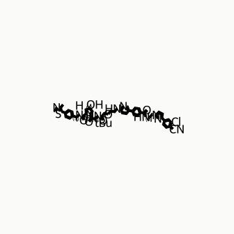 Cc1ncsc1-c1ccc([C@H](C)NC(=O)C2C[C@@H](O)CN2C(=O)[C@@H](NC(=O)COCCNc2ccc(-c3ccc(C(=O)N[C@@H](C)Cn4ccc(-c5ccc(C#N)c(Cl)c5)n4)cc3)cn2)C(C)(C)C)cc1